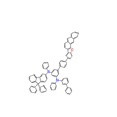 c1ccc(-c2cccc(N(c3ccccc3)c3cc(-c4ccc(-c5ccc6oc7c8cc9ccccc9cc8ccc7c6c5)cc4)cc(N(c4ccccc4)c4ccc5c(c4)-c4ccccc4C5(c4ccccc4)c4ccccc4)c3)c2)cc1